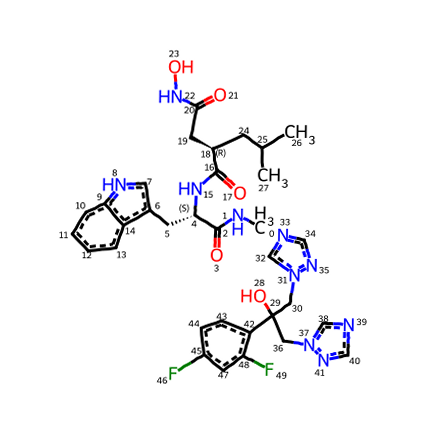 CNC(=O)[C@H](Cc1c[nH]c2ccccc12)NC(=O)[C@@H](CC(=O)NO)CC(C)C.OC(Cn1cncn1)(Cn1cncn1)c1ccc(F)cc1F